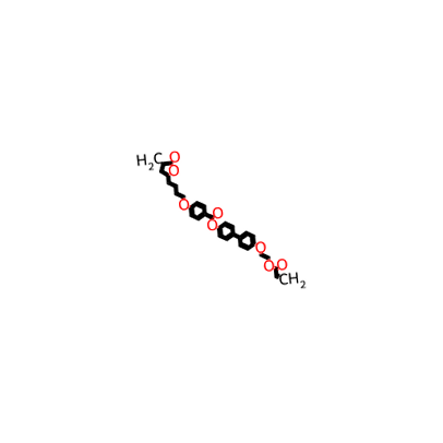 C=CC(=O)OCCOc1ccc(-c2ccc(OC(=O)c3ccc(OCCCCC4CC(=C)C(=O)O4)cc3)cc2)cc1